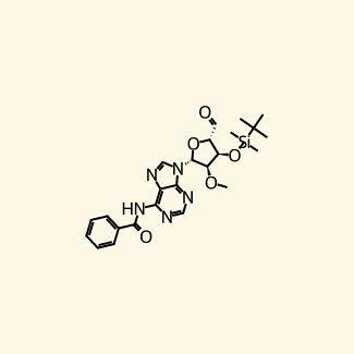 CO[C@@H]1[C@H](O[Si](C)(C)C(C)(C)C)[C@@H](C=O)O[C@H]1n1cnc2c(NC(=O)c3ccccc3)ncnc21